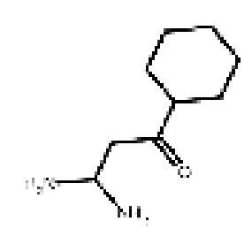 NC(N)CC(=O)C1CCCCC1